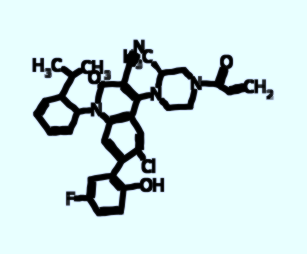 C=CC(=O)N1CCN(c2c(C#N)c(=O)n(C3C=CC=CC3C(C)C)c3cc(-c4cc(F)ccc4O)c(Cl)cc23)[C@@H](C)C1